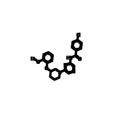 CCOc1ccccc1O[C@@H]1CCCN(c2cncc(NC(=O)c3ccc(Cl)cc3)n2)C1